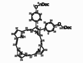 CCCCCCCCCCOc1ccc(C2=C(c3ccc(OCCCCCCCCCC)cc3)C3=NC2=CC2=NC(=CC4=NC(=CC5=NC(=C3)C=C5)C=C4)C=C2)cc1